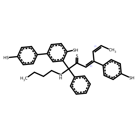 C/C=C\C(=C/C(=S)C(NCCCC)(c1ccccc1)c1cc(-c2ccc(S)cc2)ccc1S)c1ccc(S)cc1